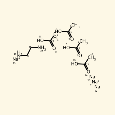 CC(=O)O.CC(=O)O.CC(=O)O.CC(=O)O.NCCN.[Na+].[Na+].[Na+].[Na+]